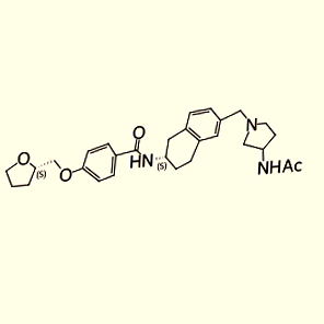 CC(=O)NC1CCN(Cc2ccc3c(c2)CC[C@H](NC(=O)c2ccc(OC[C@@H]4CCCO4)cc2)C3)C1